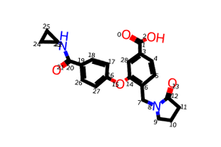 O=C(O)c1ccc(CN2CCCC2=O)c(Oc2ccc(C(=O)NC3CC3)cc2)c1